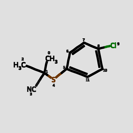 CC(C)(C#N)Sc1ccc(Cl)cc1